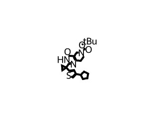 CC(C)(C)OC(=O)N1CCc2nc(C3(c4cc(C5CCCC5)cs4)CC3)[nH]c(=O)c2C1